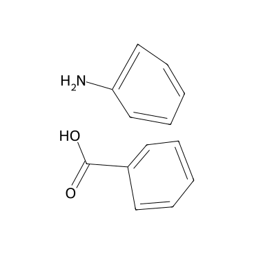 Nc1ccccc1.O=C(O)c1ccccc1